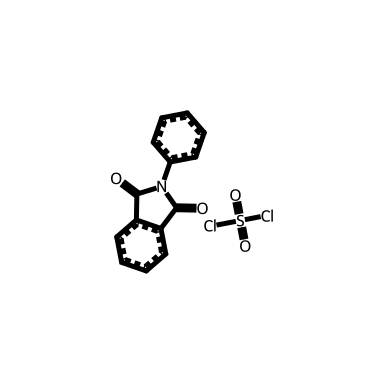 O=C1c2ccccc2C(=O)N1c1ccccc1.O=S(=O)(Cl)Cl